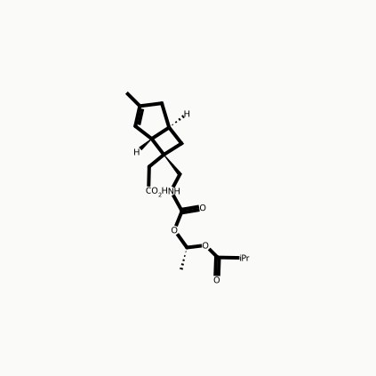 CC1=C[C@@H]2[C@@H](C1)C[C@]2(CNC(=O)O[C@@H](C)OC(=O)C(C)C)CC(=O)O